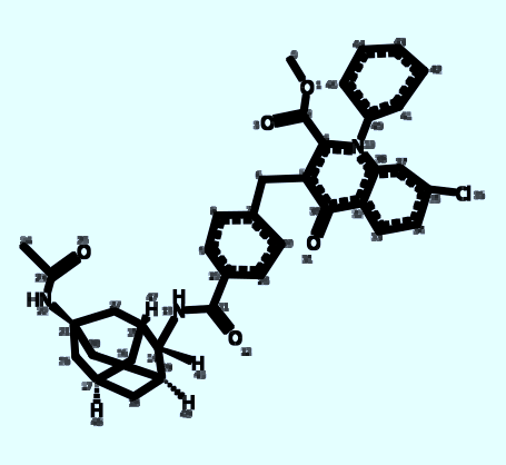 COC(=O)c1c(Cc2ccc(C(=O)N[C@H]3[C@@H]4C[C@H]5C[C@H]3C[C@](NC(C)=O)(C5)C4)cc2)c(=O)c2ccc(Cl)cc2n1-c1ccccc1